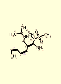 C\C=C/C=C\C(CNC(C)C)=C(/N)N(C)S(C)(=O)=O